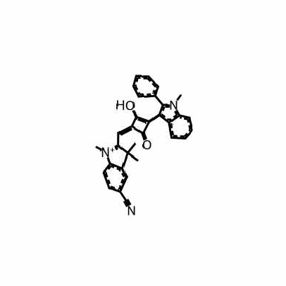 Cn1c(-c2ccccc2)c(C2=C(O)/C(=C/C3=[N+](C)c4ccc(C#N)cc4C3(C)C)C2=O)c2ccccc21